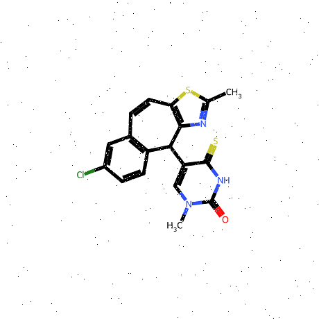 Cc1nc2c(s1)C=Cc1cc(Cl)ccc1C2c1cn(C)c(=O)[nH]c1=S